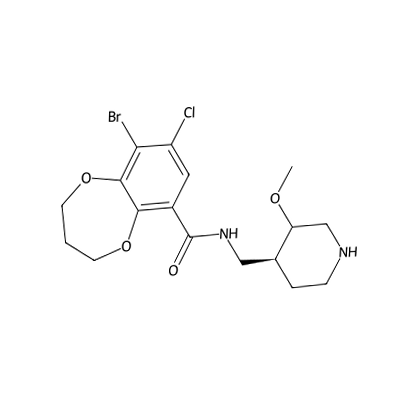 COC1CNCC[C@H]1CNC(=O)c1cc(Cl)c(Br)c2c1OCCCO2